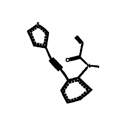 C=CC(=O)N(C)c1ccccc1C#Cc1ccsc1